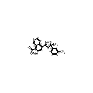 COC(=O)c1ccc(C2=NOC(c3cccc(C(F)(F)F)c3)(C(F)(F)F)C2)c2ccncc12